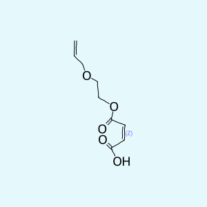 C=CCOCCOC(=O)/C=C\C(=O)O